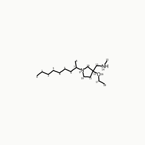 CCCCCCCC(C)N1CCC(CNC)(OCC)C1